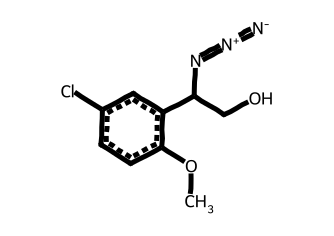 COc1ccc(Cl)cc1C(CO)N=[N+]=[N-]